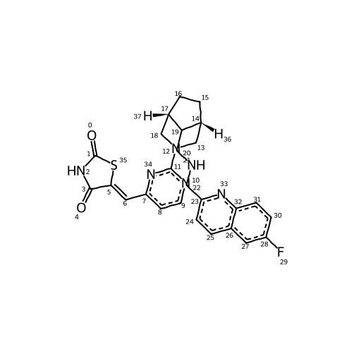 O=C1NC(=O)C(=Cc2ccnc(N3C[C@H]4CC[C@@H](C3)C4CNCc3ccc4cc(F)ccc4n3)n2)S1